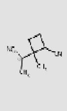 C[C@H](C#N)C1(C)CCC1C#N